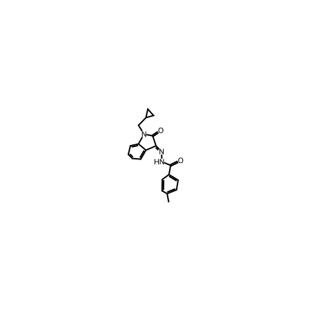 Cc1ccc(C(=O)N/N=C2/C(=O)N(CC3CC3)c3ccccc32)cc1